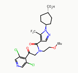 CC(C)(C)OCCN(CC(=O)c1c(Cl)cncc1Cl)C(=O)c1cnn([C@H]2CC[C@H](C(=O)O)CC2)c1C(F)(F)F